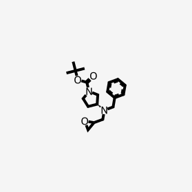 CC(C)(C)OC(=O)N1CC[C@@H](N(Cc2ccccc2)CC2CO2)C1